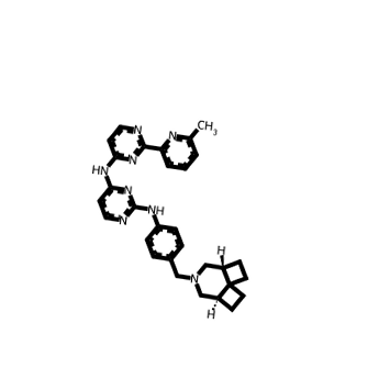 Cc1cccc(-c2nccc(Nc3ccnc(Nc4ccc(CN5C[C@@H]6CCC67CC[C@H]7C5)cc4)n3)n2)n1